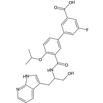 CC(C)Oc1ccc(-c2cc(F)cc(C(=O)O)c2)cc1C(=O)NC(CO)Cc1c[nH]c2ncccc12